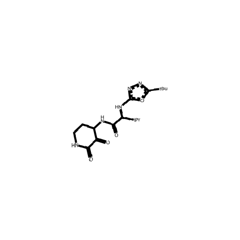 CC(C)C(Nc1nnc(C(C)(C)C)o1)C(=O)NC1CCNC(=O)C1=O